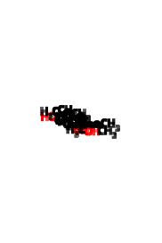 CC(C)=CCC[C@](C)(O)C1CC[C@]2(C)C1[C@H](O)CC1[C@@]3(C)CCC(O)C(C)(C)C3CC[C@]12C